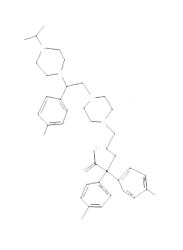 CC(C)N1CCN(C(CN2CCN(CCCC(C(=O)O)(c3ccc(F)cc3)c3ccc(F)cc3)CC2)c2ccc(F)cc2)CC1.Cl.Cl.Cl.Cl